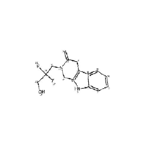 C=C1Cc2c([nH]c3ccccc23)CN1CC(F)(F)CO